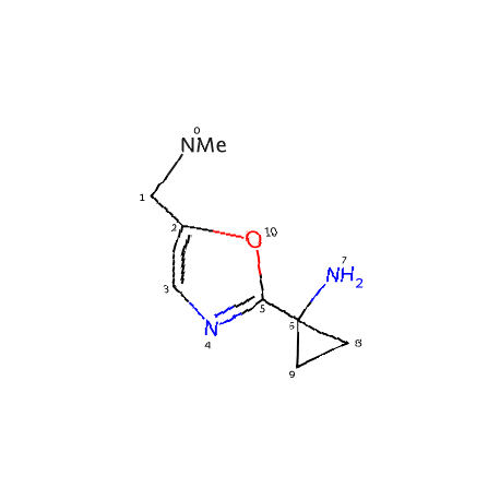 CNCc1cnc(C2(N)CC2)o1